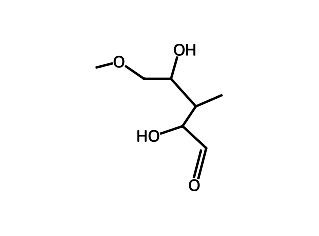 COCC(O)C(C)C(O)C=O